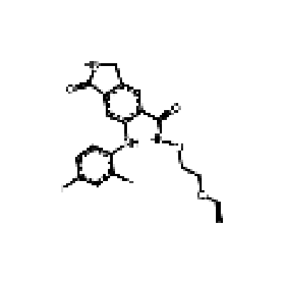 C=COCCONC(=O)c1cc2c(cc1Nc1ccc(I)cc1F)C(=O)NC2